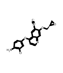 [C-]#[N+]c1cc2c(Oc3ccc(N)c(Cl)c3)ccnc2cc1OC[C@H]1CO1